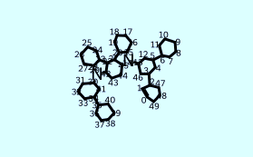 C1=CC(C2CC(C3CCCCC3)CC(N3C4CCCCC4C4C5C6CCCCC6N(C6CCCC(C7CCCCC7)C6)C5CCC43)C2)CCC1